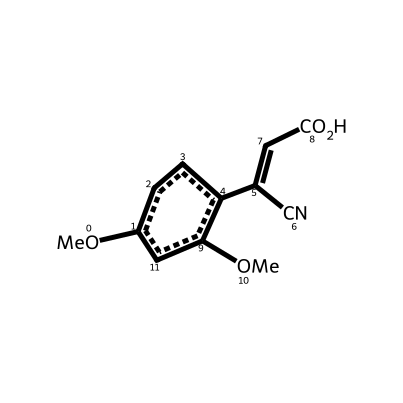 COc1ccc(C(C#N)=CC(=O)O)c(OC)c1